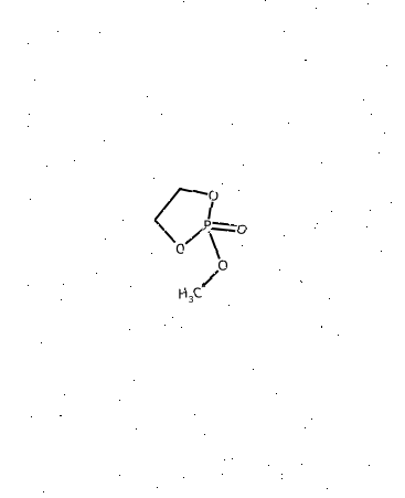 COP1(=O)OCCO1